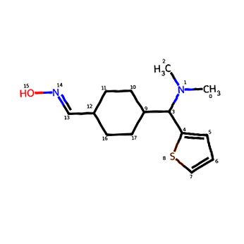 CN(C)C(c1cccs1)C1CCC(/C=N/O)CC1